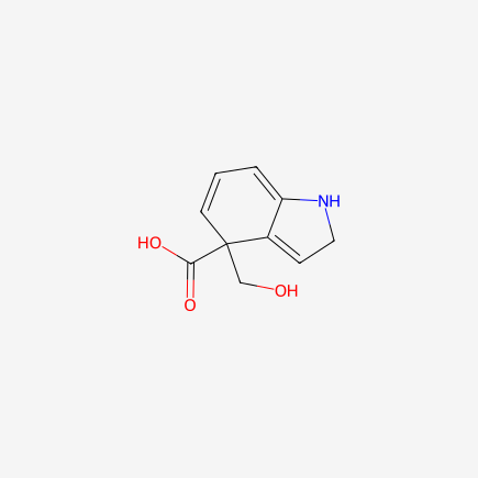 O=C(O)C1(CO)C=CC=C2NCC=C21